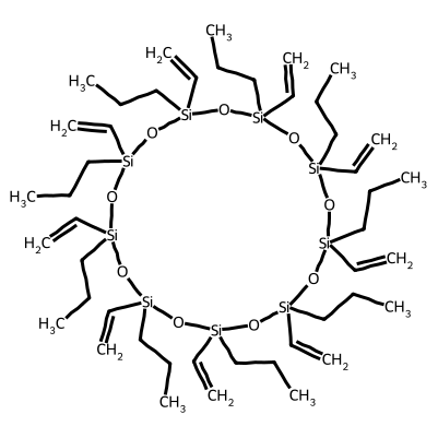 C=C[Si]1(CCC)O[Si](C=C)(CCC)O[Si](C=C)(CCC)O[Si](C=C)(CCC)O[Si](C=C)(CCC)O[Si](C=C)(CCC)O[Si](C=C)(CCC)O[Si](C=C)(CCC)O[Si](C=C)(CCC)O1